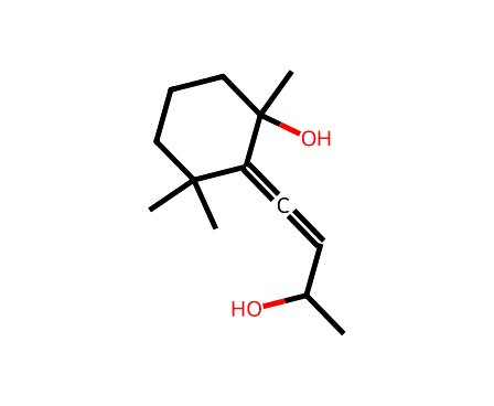 CC(O)C=C=C1C(C)(C)CCCC1(C)O